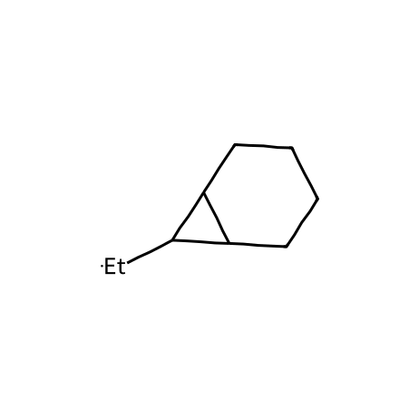 C[CH]C1C2CCCCC12